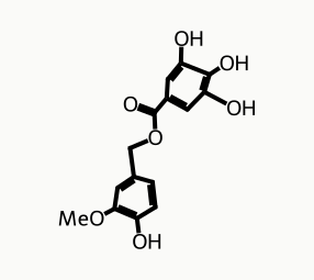 COc1cc(COC(=O)c2cc(O)c(O)c(O)c2)ccc1O